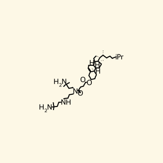 CC(C)CCC[C@@H](C)[C@H]1CC[C@H]2[C@@H]3CC=C4C[C@@H](OC(=O)CCC(=O)N(CCCCNCCC(C)(C)N)CCC(C)(C)N)CC[C@]4(C)[C@H]3CC[C@]12C